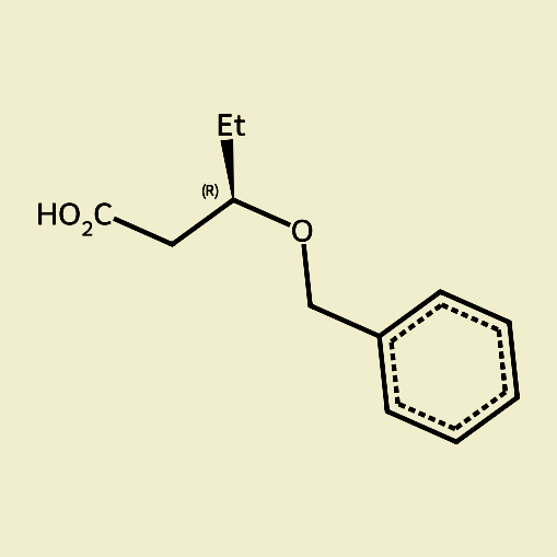 CC[C@H](CC(=O)O)OCc1ccccc1